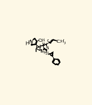 CCCSc1nc(N[C@@H]2C[C@H]2c2ccccc2)c2nnn([C@@H]3CNC[C@H]3O)c2n1